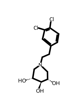 O[C@H]1[C@H](O)CN(CCc2ccc(Cl)c(Cl)c2)C[C@@H]1O